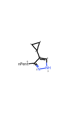 CCCCCc1n[nH]cc1C1CC1